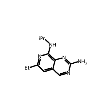 CCc1cc2cnc(N)nc2c(NC(C)C)n1